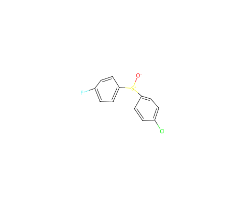 [O-][S+](c1ccc(F)cc1)c1ccc(Cl)cc1